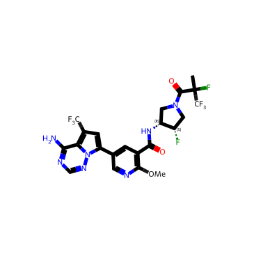 COc1ncc(-c2cc(C(F)(F)F)c3c(N)ncnn23)cc1C(=O)N[C@@H]1CN(C(=O)C(C)(F)C(F)(F)F)C[C@@H]1F